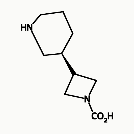 O=C(O)N1CC([C@@H]2CCCNC2)C1